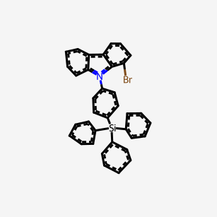 Brc1cccc2c3ccccc3n(-c3ccc([Si](c4ccccc4)(c4ccccc4)c4ccccc4)cc3)c12